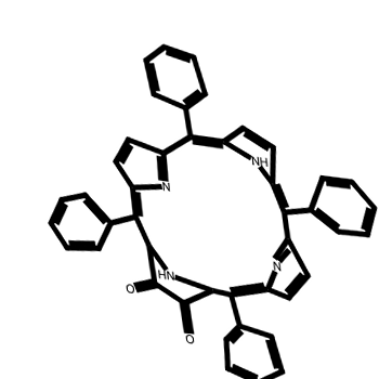 O=C1C(=O)C2NC1C(c1ccccc1)=C1C=CC(=N1)C(c1ccccc1)=c1ccc([nH]1)=C(c1ccccc1)C1=NC(=C2c2ccccc2)C=C1